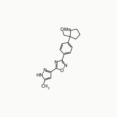 COCC1(c2ccc(-c3noc(-c4cc(C)[nH]n4)n3)cc2)CCCC1